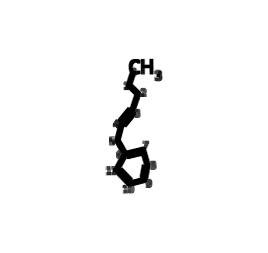 CC[CH]C#CCc1ccccc1